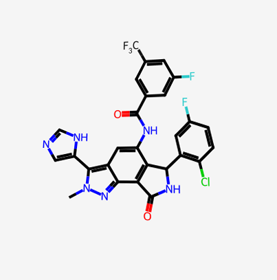 Cn1nc2c3c(c(NC(=O)c4cc(F)cc(C(F)(F)F)c4)cc2c1-c1cnc[nH]1)C(c1cc(F)ccc1Cl)NC3=O